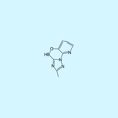 Cc1nc2n(n1)-c1ncccc1OB2